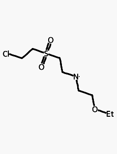 CCOCC[N]CCS(=O)(=O)CCCl